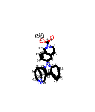 CC(C)(C)OC(=O)N1CCc2cc(-n3c4c(c5ccccc53)CN3CCC4CC3)ccc2C1